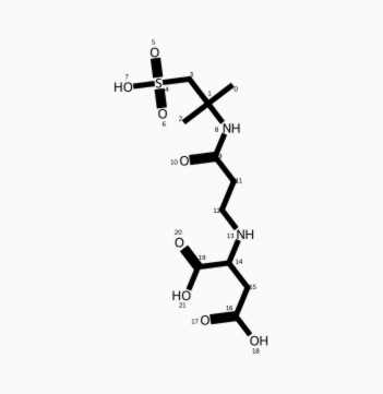 CC(C)(CS(=O)(=O)O)NC(=O)CCNC(CC(=O)O)C(=O)O